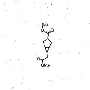 COC(=O)CC1C2CN(C(=O)OC(C)(C)C)CC12